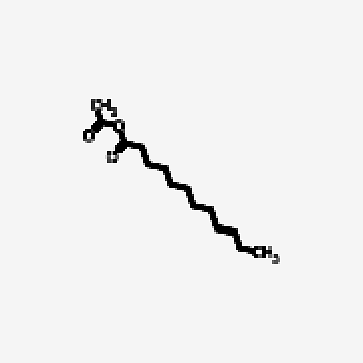 CCC=CCCCCCCCC(=O)OC(C)=O